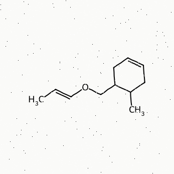 CC=COCC1CC=CCC1C